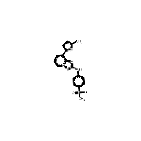 Cc1ccc(-c2cccn3nc(Nc4ccc(S(C)(=O)=O)cc4)nc23)s1